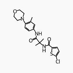 Cc1cc(NC(=O)C(C)(C)NC(=O)c2ccc(Cl)s2)ccc1N1CCOCC1